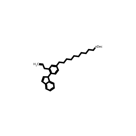 C=CCc1cc(CCCCCCCCCCCCCCCCCCCC)ccc1C1C=Cc2ccccc21